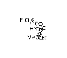 CCOC(=O)C(C)COc1cccc(C(=O)N(Cc2ccc(OC)c(OCC)c2)C2CCNCC2)c1